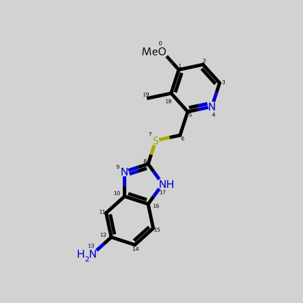 COc1ccnc(CSc2nc3cc(N)ccc3[nH]2)c1C